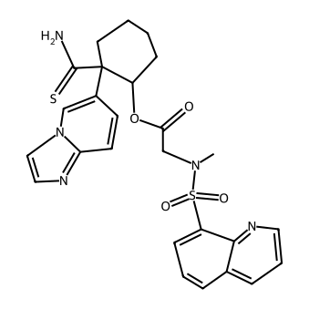 CN(CC(=O)OC1CCCCC1(C(N)=S)c1ccc2nccn2c1)S(=O)(=O)c1cccc2cccnc12